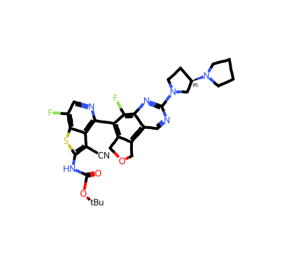 CC(C)(C)OC(=O)Nc1sc2c(F)cnc(-c3c4c(c5cnc(N6CC[C@@H](N7CCCC7)C6)nc5c3F)COC4)c2c1C#N